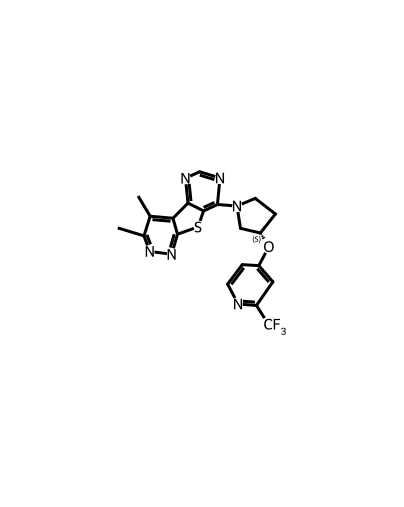 Cc1nnc2sc3c(N4CC[C@H](Oc5ccnc(C(F)(F)F)c5)C4)ncnc3c2c1C